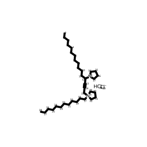 CCCCCCCCCCCCC(C#CC[N+]1(CCCCCCCCCCCC)CCCC1)N1CCCC1.Cl.[Cl-]